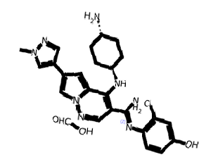 Cn1cc(-c2cc3c(N[C@H]4CC[C@H](N)CC4)c(/C(N)=N/c4ccc(O)cc4Cl)cnn3c2)cn1.O=CO